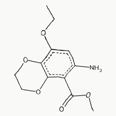 CCOc1cc(N)c(C(=O)OC)c2c1OCCO2